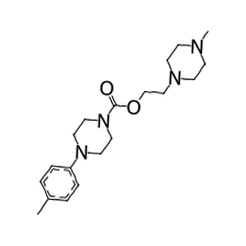 Cc1ccc(N2CCN(C(=O)OCCN3CCN(C)CC3)CC2)cc1